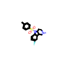 Cc1ccc(S(=O)(=O)n2c3c(c4cc(F)ccc42)CNCC3)cc1